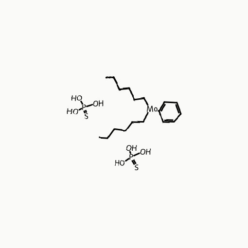 CCCCC[CH2][Mo]([CH2]CCCCC)[c]1ccccc1.OP(O)(O)=S.OP(O)(O)=S